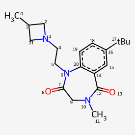 CC1CN(CCN2C(=O)CN(C)C(=O)c3cc(C(C)(C)C)ccc32)C1